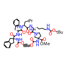 COC(=O)C1(NC(=O)OC(C)(C)C)CCN(C(=O)[C@@H](CCCCNC(=O)OC(C)(C)C)NC(=O)C(CC(C)C)NC(=O)[C@@H](Cc2ccccc2)NC(=O)C2(NC(=O)OC(C)(C)C)Cc3ccccc3C2)C1